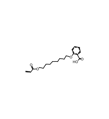 C=CC(=O)OCCCCCCCCCOc1ccccc1C(=O)O